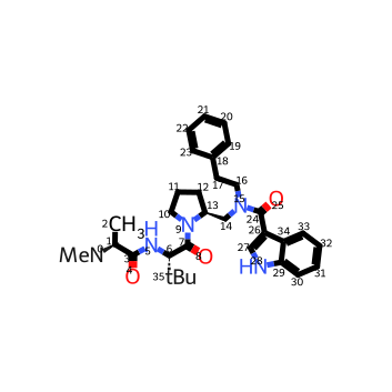 CN[C@@H](C)C(=O)N[C@H](C(=O)N1CCC[C@H]1CN(CCc1ccccc1)C(=O)c1c[nH]c2ccccc12)C(C)(C)C